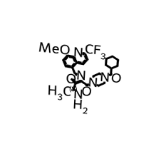 COc1ccc(-c2nc(C(=O)N3CCN(C(=O)C4CCCCC4)CC3)c([C@H](C)N)o2)c2ccc(C(F)(F)F)nc12